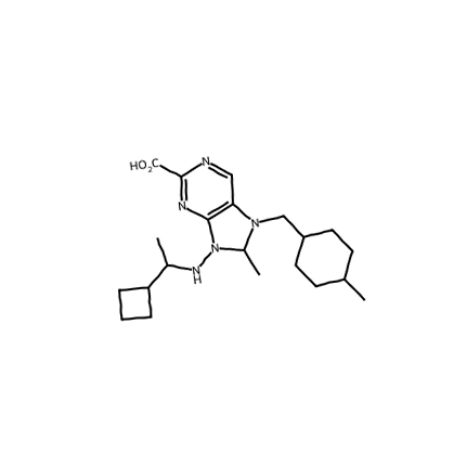 CC1CCC(CN2c3cnc(C(=O)O)nc3N(NC(C)C3CCC3)C2C)CC1